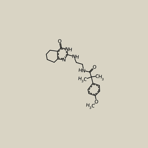 COc1ccc(C(C)(C)C(=O)NCCNc2nc3c(c(=O)[nH]2)CCCC3)cc1